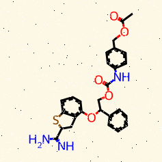 CC(=O)OCc1ccc(NC(=O)OCC(Oc2cccc3c2CC(C(=N)N)S3)c2ccccc2)cc1